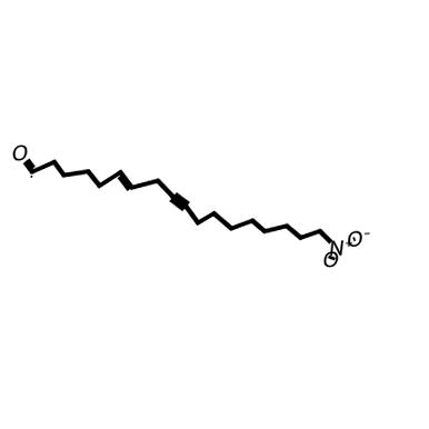 O=[C]CCCCC=CCC#CCCCCCCCC[N+](=O)[O-]